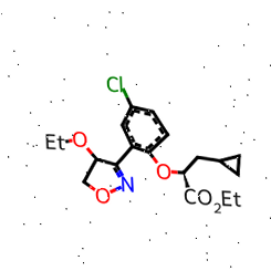 CCOC(=O)[C@H](CC1CC1)Oc1ccc(Cl)cc1C1=NOCC1OCC